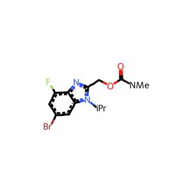 CNC(=O)OCc1nc2c(F)cc(Br)cc2n1C(C)C